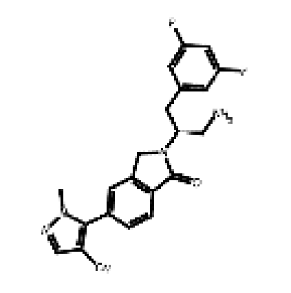 Cn1ncc(C#N)c1-c1ccc2c(c1)CN([C@H](CN)Cc1cc(F)cc(F)c1)C2=O